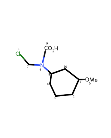 COC1CCCC(N(CCl)C(=O)O)C1